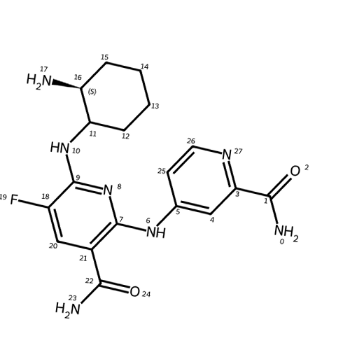 NC(=O)c1cc(Nc2nc(NC3CCCC[C@@H]3N)c(F)cc2C(N)=O)ccn1